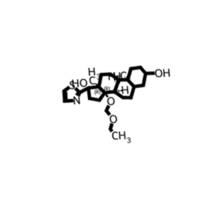 CCOCO[C@@]12CCC(O)(c3nccs3)[C@@]1(C)CC[C@@H]1[C@H]2CCC2CC(O)CC[C@@]21C